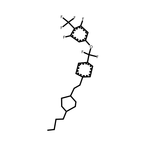 CCCCC1CCC(CCc2ccc(C(F)(F)Oc3cc(F)c(C(F)(F)F)c(F)c3)cc2)CC1